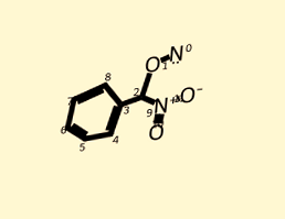 [N]OC(c1ccccc1)[N+](=O)[O-]